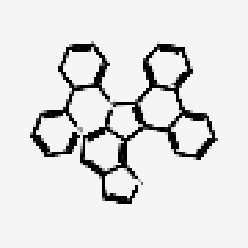 C1=CCC(c2ccccn2)C(n2c3ccc4ccsc4c3c3c4ccccc4c4ccccc4c32)=C1